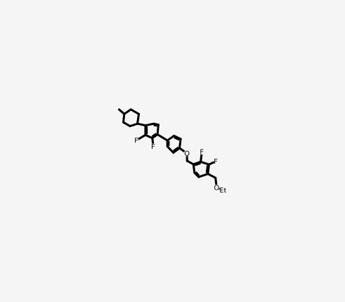 CCOCc1ccc(COc2ccc(-c3ccc(C4CCC(C)CC4)c(F)c3F)cc2)c(F)c1F